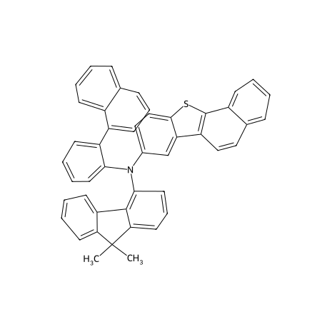 CC1(C)c2ccccc2-c2c(N(c3ccc4sc5c6ccccc6ccc5c4c3)c3ccccc3-c3cccc4ccccc34)cccc21